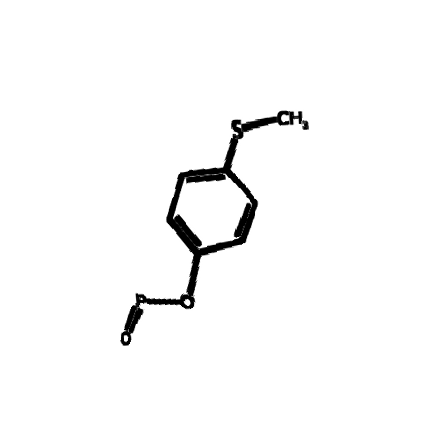 CSc1ccc(OP=O)cc1